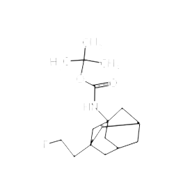 CC(C)(C)OC(=O)NC12CC3CC(CC(CCF)(C3)C1)C2